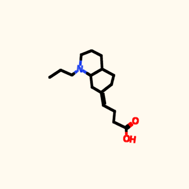 CCCN1CCCC2CC/C(=C\CCC(=O)O)CC21